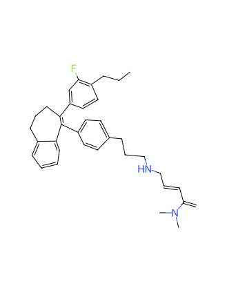 C=C(/C=C/CNCCCc1ccc(C2=C(c3ccc(CCC)c(F)c3)CCCc3ccccc32)cc1)N(C)C